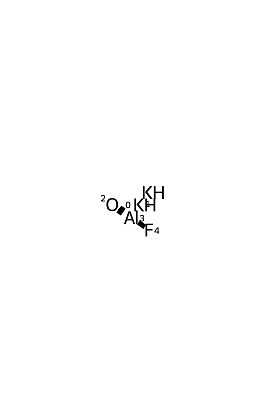 [KH].[KH].[O]=[Al][F]